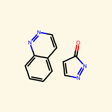 O=C1C=CN=N1.c1ccc2nnccc2c1